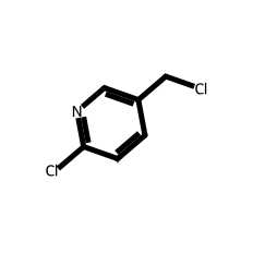 ClCc1c[c]c(Cl)nc1